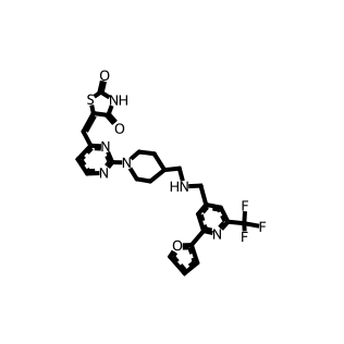 O=C1NC(=O)/C(=C\c2ccnc(N3CCC(CNCc4cc(-c5ccco5)nc(C(F)(F)F)c4)CC3)n2)S1